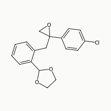 Clc1ccc(C2(Cc3ccccc3C3OCCO3)CO2)cc1